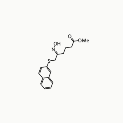 COC(=O)CCCC(CSc1ccc2ccccc2c1)=NO